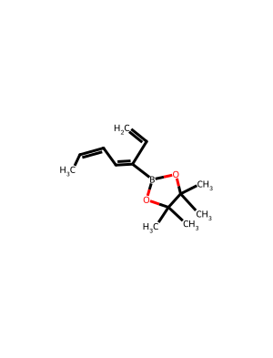 C=C/C(=C\C=C/C)B1OC(C)(C)C(C)(C)O1